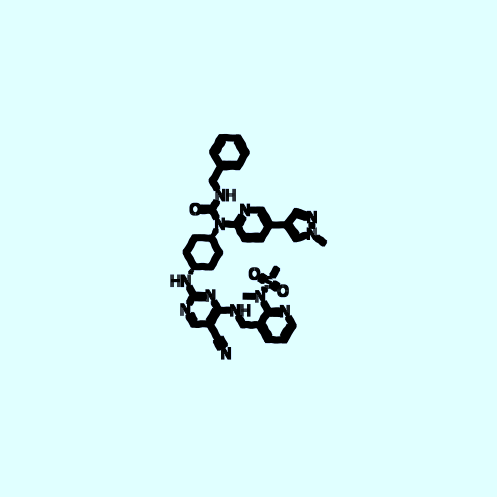 CN(c1ncccc1CNc1nc(N[C@H]2CC[C@H](N(C(=O)NCc3ccccc3)c3ccc(-c4cnn(C)c4)cn3)CC2)ncc1C#N)S(C)(=O)=O